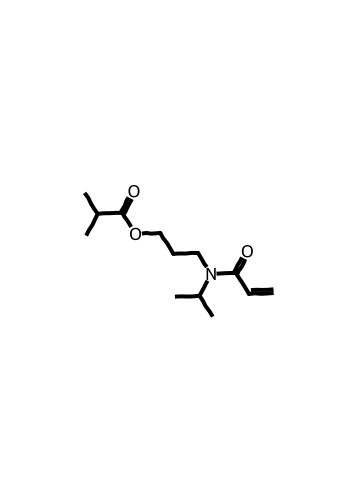 C=CC(=O)N(CCCOC(=O)C(C)C)C(C)C